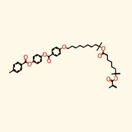 C=C(C)C(=O)OC(C)(C)CCCCCC(=O)OC(C)(C)CCCCCCCCOc1ccc(C(=O)Oc2ccc(OC(=O)c3ccc(C)cc3)cc2)cc1